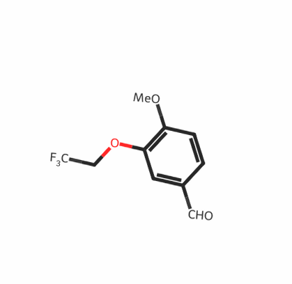 COc1ccc(C=O)cc1OCC(F)(F)F